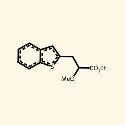 CCOC(=O)C(Cc1cc2ccccc2s1)OC